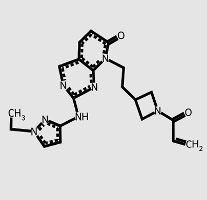 C=CC(=O)N1CC(CCn2c(=O)ccc3cnc(Nc4ccn(CC)n4)nc32)C1